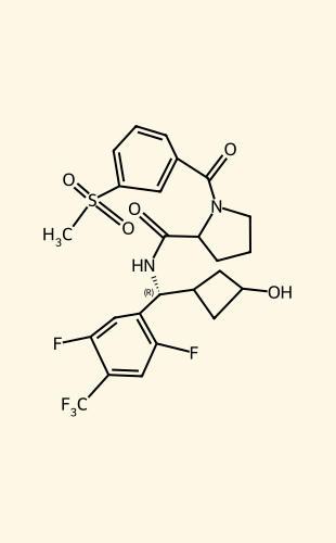 CS(=O)(=O)c1cccc(C(=O)N2CCCC2C(=O)N[C@@H](c2cc(F)c(C(F)(F)F)cc2F)C2CC(O)C2)c1